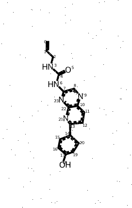 C=CCNC(=O)Nc1cnc2ccc(-c3ccc(O)cc3)nc2n1